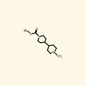 [CH2-][NH+]1CCC(C2CCN(C(=O)OC(C)(C)C)CC2)CC1